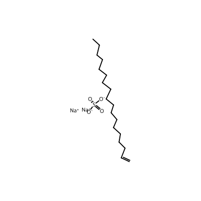 C=CCCCCCCCCCCCCCCCC.O=S(=O)([O-])[O-].[Na+].[Na+]